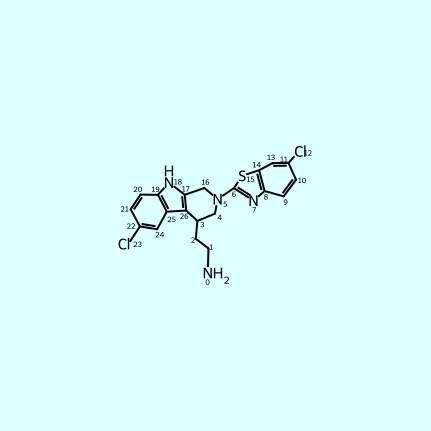 NCCC1CN(c2nc3ccc(Cl)cc3s2)Cc2[nH]c3ccc(Cl)cc3c21